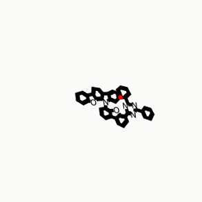 c1ccc(-c2nc(-c3ccccc3)nc(-c3cccc4c3oc3c(-n5c6ccccc6c6ccc7c8ccccc8oc7c65)cccc34)n2)cc1